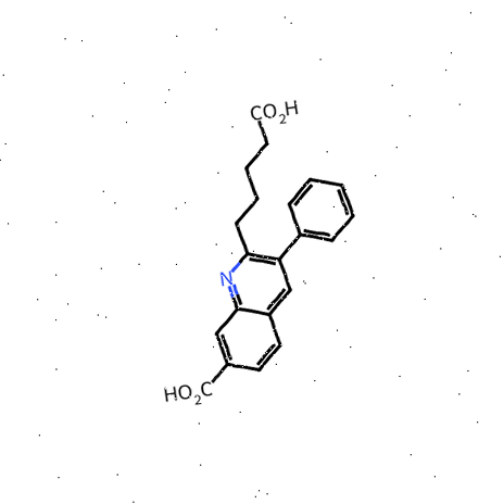 O=C(O)CCCCc1nc2cc(C(=O)O)ccc2cc1-c1ccccc1